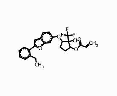 C=CC(=O)OC1CCC(Oc2ccc3cc(-c4ccccc4CC)oc3c2)C1(C)C(F)(F)F